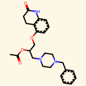 CC(=O)OC(COc1cccc2c1CCC(=O)N2)CN1CCN(Cc2ccccc2)CC1